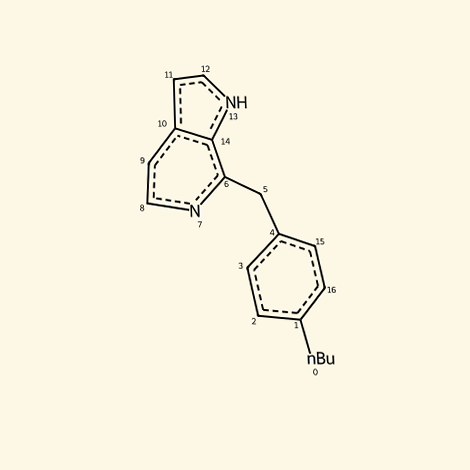 CCCCc1ccc(Cc2nccc3cc[nH]c23)cc1